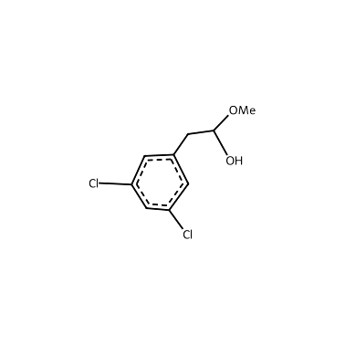 COC(O)Cc1cc(Cl)cc(Cl)c1